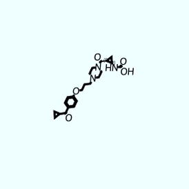 O=C(O)N[C@@H]1C[C@@H]1C(=O)N1CCN(CCCOc2ccc(C(=O)C3CC3)cc2)CC1